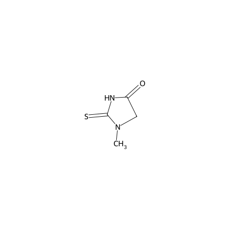 CN1CC(=O)NC1=S